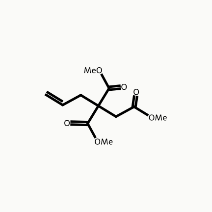 C=CCC(CC(=O)OC)(C(=O)OC)C(=O)OC